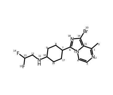 Cc1nccn2c(C3CCC(NCC(F)F)CC3)nc(Br)c12